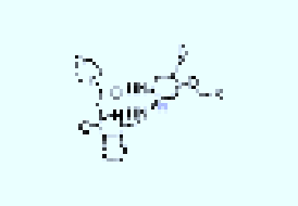 N#CC1=CC(=N)/C(=C\NCc2nn(CC(=O)N3CCOCC3)c(=O)c3ccccc23)C=C1OCC1CC1